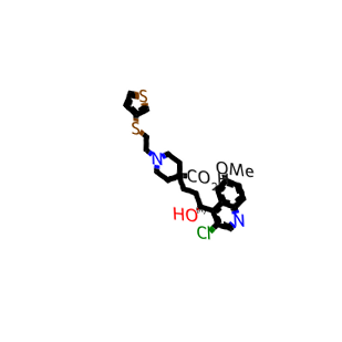 COc1ccc2ncc(Cl)c([C@H](O)CCC3(C(=O)O)CCN(CCSc4ccsc4)CC3)c2c1